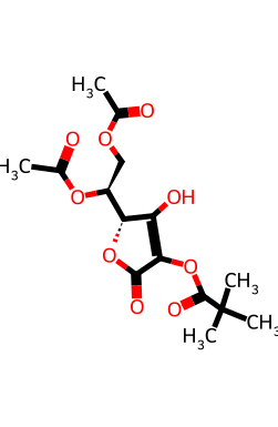 CC(=O)OC[C@H](OC(C)=O)[C@H]1OC(=O)C(OC(=O)C(C)(C)C)=C1O